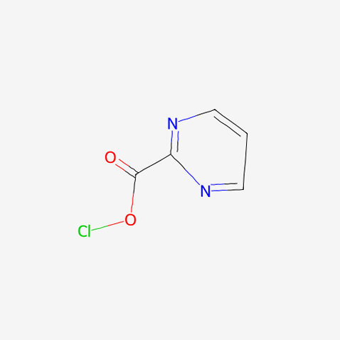 O=C(OCl)c1ncccn1